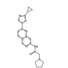 O=C(CN1CCCC1)Nc1cc2nc(-c3cnn(C4CC4)c3)ccc2cn1